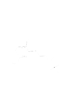 COc1ccc(Br)c(CCO[Si](C)(C)C(C)(C)C)n1